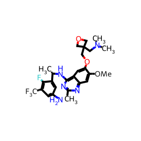 COc1cc2nc(C)nc(N[C@H](C)c3cc(N)cc(C(F)(F)F)c3F)c2cc1OCC1(CN(C)C)COC1